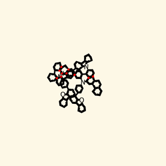 c1ccc(N(c2ccc(-c3cccc4c3oc3ccccc34)cc2)c2ccc3ccc4ccccc4c3c2)c(-c2ccccc2-n2c3ccccc3c3ccc(-c4ccc5c6ccccc6n(-c6ccccc6-c6ccccc6N(c6ccc(-c7cccc8c7oc7ccccc78)cc6)c6cccc7ccccc67)c5c4)cc32)c1